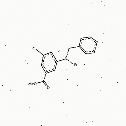 COC(=O)c1cc(Cl)cc(N(Cc2ccccc2)C(C)C)c1